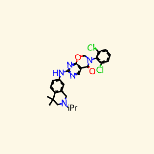 CC(C)N1Cc2cc(Nc3ncc4c(n3)OCN(c3c(Cl)cccc3Cl)C4=O)ccc2C(C)(C)C1